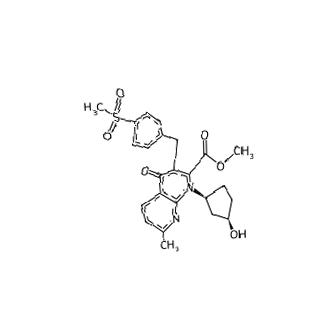 COC(=O)c1c(Cc2ccc(S(C)(=O)=O)cc2)c(=O)c2ccc(C)nc2n1[C@H]1CC[C@@H](O)C1